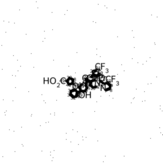 CCC[C@H]1N(C(=O)c2ncccc2C(F)(F)F)CCC[C@@]1(Oc1csc(C(F)(F)F)c1)C(=O)N1CCC(O)(c2ccccc2O[C@@H]2CC[C@@H](C(=O)O)C2)CC1